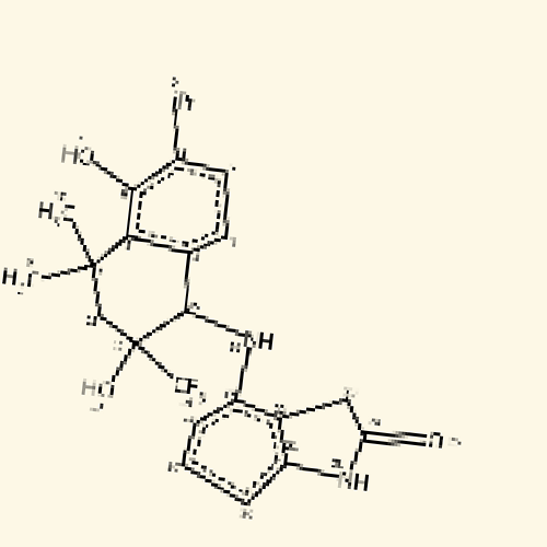 CC(C)c1ccc2c(c1O)C(C)(C)CC(O)(C(F)(F)F)C2Nc1cccc2c1CC(=O)N2